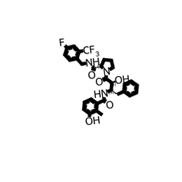 Cc1c(O)cccc1C(=O)N[C@@H](Cc1ccccc1)[C@H](O)C(=O)N1CCC[C@H]1C(=O)NCc1ccc(F)cc1C(F)(F)F